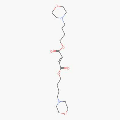 O=C(C=CC(=O)OCCCCN1CCOCC1)OCCCCN1CCOCC1